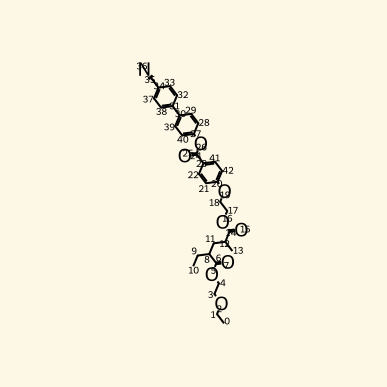 CCOCCOC(=O)C(CC)CC(C)C(=O)OCCOc1ccc(C(=O)Oc2ccc(-c3ccc(C#N)cc3)cc2)cc1